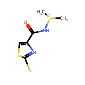 C[SH](C)NC(=O)c1csc(F)n1